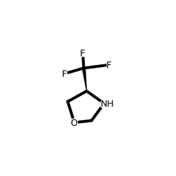 FC(F)(F)[C@@H]1COCN1